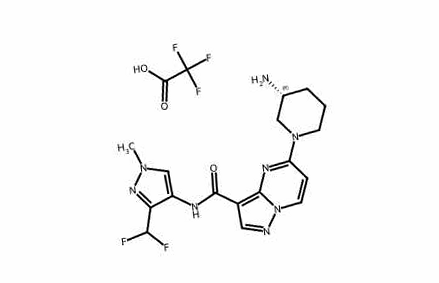 Cn1cc(NC(=O)c2cnn3ccc(N4CCC[C@@H](N)C4)nc23)c(C(F)F)n1.O=C(O)C(F)(F)F